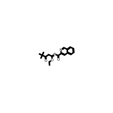 CCOC(CC(=O)C(C)(C)C)=NC(=O)c1cc2ccccc2cn1